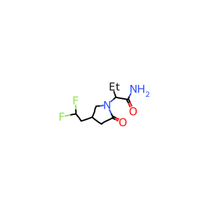 CCC(C(N)=O)N1CC(CC(F)F)CC1=O